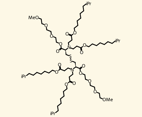 COCCOCCOCCOC(=O)[C@H](CSSC[C@@H](C(=O)OCCOCCOCCOC)N(CCC(=O)OCCCCCCCC(C)C)CCC(=O)OCCCCCCCC(C)C)N(CCC(=O)OCCCCCCCC(C)C)CCC(=O)OCCCCCCCC(C)C